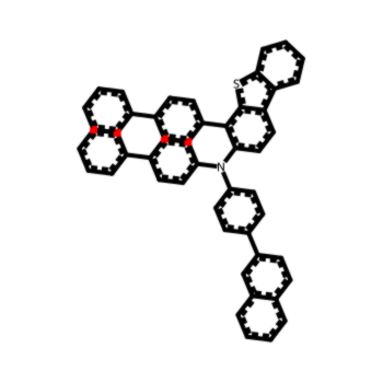 c1ccc(-c2ccc(-c3c(N(c4ccc(-c5ccccc5)cc4)c4ccc(-c5ccc6ccccc6c5)cc4)ccc4c3sc3ccccc34)cc2)cc1